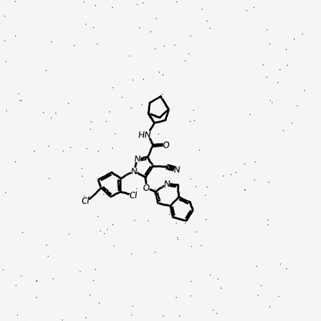 N#Cc1c(C(=O)NC2CC3CCC2C3)nn(-c2ccc(Cl)cc2Cl)c1Oc1cc2ccccc2cn1